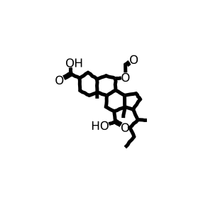 CCCC(C)C1CCC2C3C(OC=O)CC4CC(C(=O)O)CCC4(C)C3CC(C(=O)O)C12C